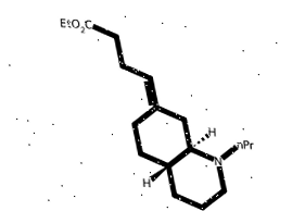 CCCN1CCC[C@@H]2CC/C(=C\CCC(=O)OCC)C[C@H]21